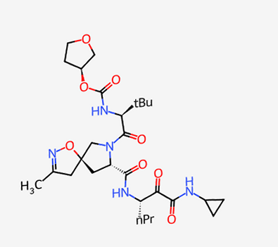 CCC[C@H](NC(=O)[C@@H]1C[C@]2(CC(C)=NO2)CN1C(=O)[C@@H](NC(=O)O[C@H]1CCOC1)C(C)(C)C)C(=O)C(=O)NC1CC1